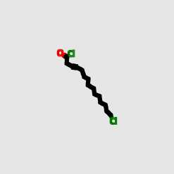 O=C(Cl)CC#CCCCCCCCCCCCCl